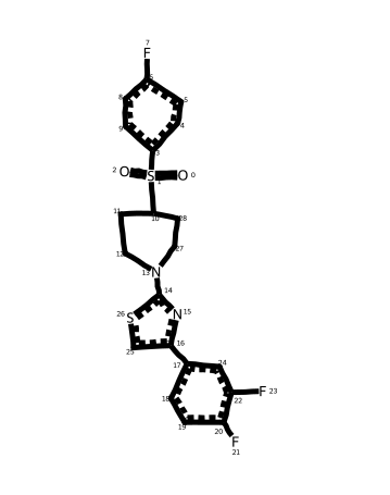 O=S(=O)(c1ccc(F)cc1)C1CCN(c2nc(-c3ccc(F)c(F)c3)cs2)CC1